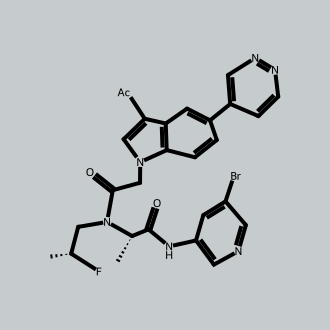 CC(=O)c1cn(CC(=O)N(C[C@@H](C)F)[C@@H](C)C(=O)Nc2cncc(Br)c2)c2ccc(-c3ccnnc3)cc12